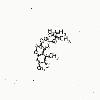 Cc1cc2c(c(C)c1Cl)N(CC(=O)OC(C)(C)C)C(=O)CO2